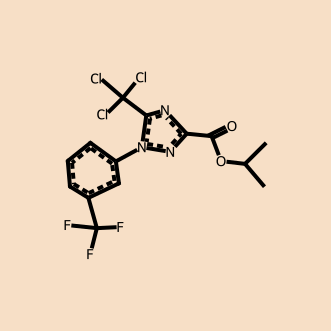 CC(C)OC(=O)c1nc(C(Cl)(Cl)Cl)n(-c2cccc(C(F)(F)F)c2)n1